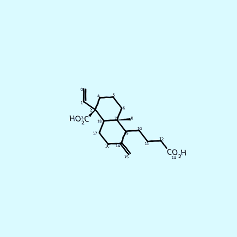 C=C[C@]1(C(=O)O)CCC[C@]2(C)C(CCCC(=O)O)C(=C)CCC21